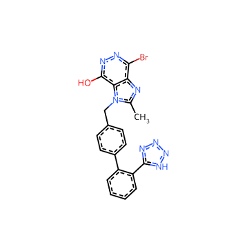 Cc1nc2c(Br)nnc(O)c2n1Cc1ccc(-c2ccccc2-c2nnn[nH]2)cc1